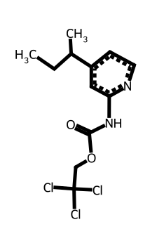 CCC(C)c1ccnc(NC(=O)OCC(Cl)(Cl)Cl)c1